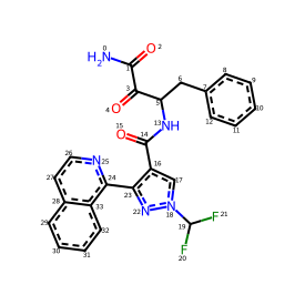 NC(=O)C(=O)C(Cc1ccccc1)NC(=O)c1cn(C(F)F)nc1-c1nccc2ccccc12